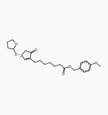 COc1ccc(COC(=O)CCCCCCC2=C[C@H](OC3CCCO3)CC2=O)cc1